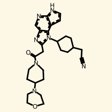 N#CCC1CCC(n2c(CC(=O)N3CCC(N4CCOCC4)CC3)nc3cnc4[nH]ccc4c32)CC1